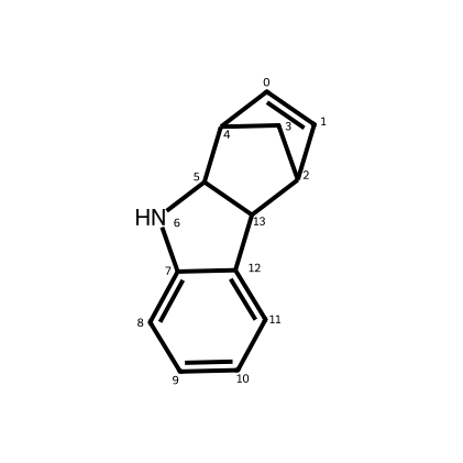 C1=CC2CC1C1Nc3ccccc3C21